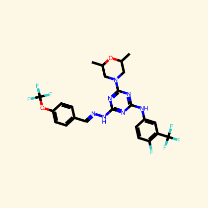 CC1CN(c2nc(N/N=C/c3ccc(OC(F)(F)F)cc3)nc(Nc3ccc(F)c(C(F)(F)F)c3)n2)CC(C)O1